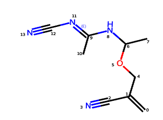 C=C(C#N)COC(C)N/C(C)=N/C#N